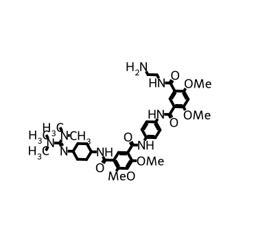 COc1cc(OC)c(C(=O)Nc2ccc(NC(=O)c3cc(C(=O)NC4CCC(N=C(N(C)C)N(C)C)CC4)c(OC)cc3OC)cc2)cc1C(=O)NCCN